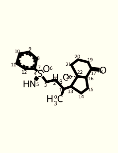 CC(CCS(=N)(=O)c1ccccc1)C1CCC2C(=O)CCC[C@@]21C